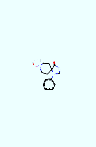 O=C(O)ON1CCC2(CC1)C(=O)NCN2c1ccccc1